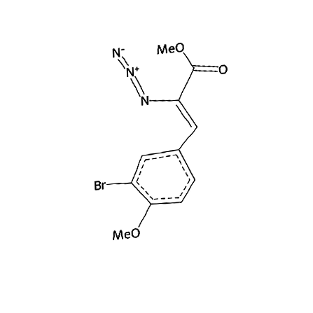 COC(=O)/C(=C/c1ccc(OC)c(Br)c1)N=[N+]=[N-]